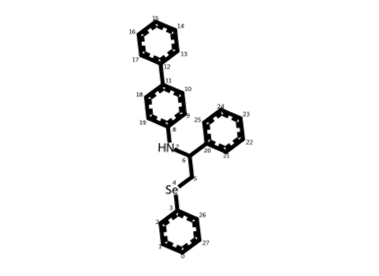 c1ccc([Se]CC(Nc2ccc(-c3ccccc3)cc2)c2ccccc2)cc1